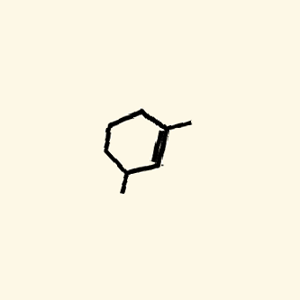 CC1=[C]C(C)CCC1